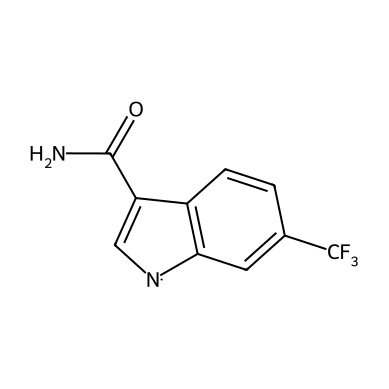 NC(=O)C1=C[N]c2cc(C(F)(F)F)ccc21